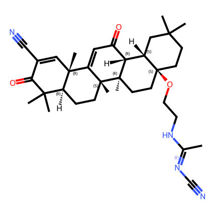 C/C(=N\C#N)NCCO[C@]12CCC(C)(C)C[C@H]1[C@H]1C(=O)C=C3[C@@]4(C)C=C(C#N)C(=O)C(C)(C)[C@@H]4CC[C@@]3(C)[C@]1(C)CC2